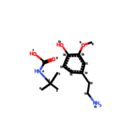 CC(C)(C)NC(=O)O.COc1cc(CCN)ccc1O